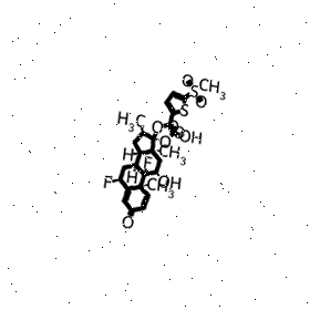 C[C@@H]1C[C@H]2[C@@H]3C[C@H](F)C4=CC(=O)C=C[C@]4(C)[C@@]3(F)[C@@H](O)C[C@]2(C)[C@]1(OC(=O)O)OC(=O)c1ccc(S(C)(=O)=O)s1